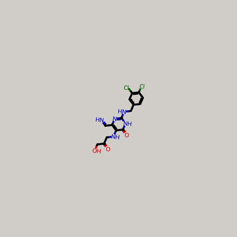 N=Cc1nc(NCc2ccc(Cl)c(Cl)c2)[nH]c(=O)c1NCC(=O)CO